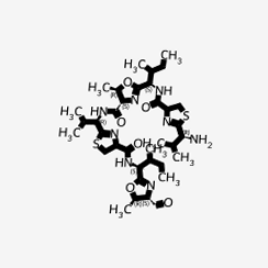 CCC(C)[C@H](NC(=O)C1CSC([C@H](N)C(C)C)=N1)C1=N[C@H](C(=O)N[C@@H](C2=NC(C(=O)N[C@H](C3=N[C@H](C=O)[C@@H](C)O3)C(C)CC)CS2)C(C)C)[C@@H](C)O1